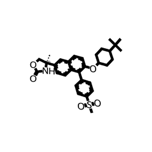 CC(C)(C)C1CCC(Oc2ccc3cc([C@]4(C)COC(=O)N4)ccc3c2-c2ccc(S(C)(=O)=O)cc2)CC1